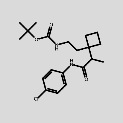 CC(C(=O)Nc1ccc(Cl)cc1)C1(CCNC(=O)OC(C)(C)C)CCC1